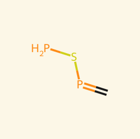 C=PSP